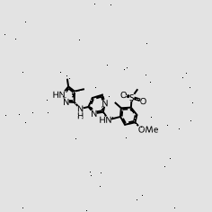 COc1cc(Nc2nccc(Nc3n[nH]c(C)c3C)n2)c(C)c(S(C)(=O)=O)c1